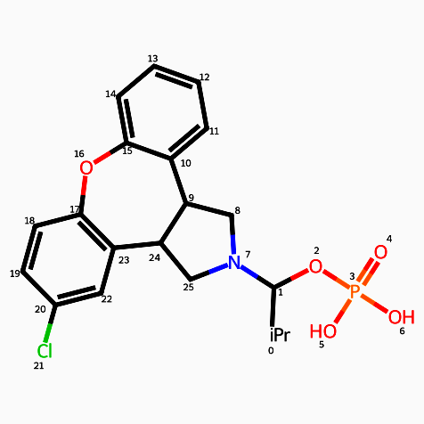 CC(C)C(OP(=O)(O)O)N1CC2c3ccccc3Oc3ccc(Cl)cc3C2C1